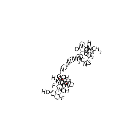 C#Cc1c(F)ccc2cc(O)cc(-c3ncc4c(N5CC6CCC(C5)N6C(=O)OC(C)(C)C)nc(OCCN5CCC(F)(CN6CCN(c7cc(C(C(=O)N8CCCC8C(=O)NC(C)c8ccc(-c9scnc9C)cc8)C(C)C)on7)CC6)CC5)nc4c3F)c12